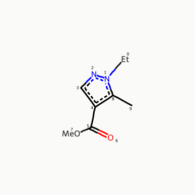 CCn1ncc(C(=O)OC)c1C